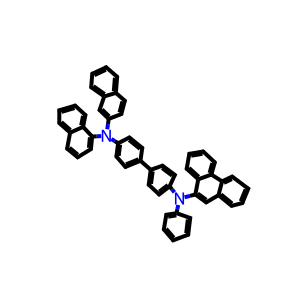 c1ccc(N(c2ccc(-c3ccc(N(c4ccc5ccccc5c4)c4cccc5ccccc45)cc3)cc2)c2cc3ccccc3c3ccccc23)cc1